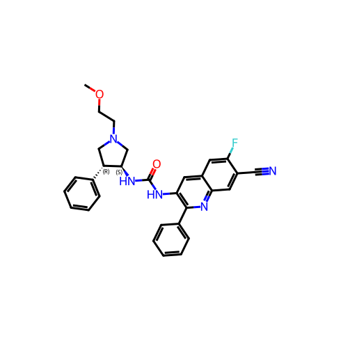 COCCN1C[C@@H](NC(=O)Nc2cc3cc(F)c(C#N)cc3nc2-c2ccccc2)[C@H](c2ccccc2)C1